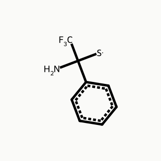 NC([S])(c1ccccc1)C(F)(F)F